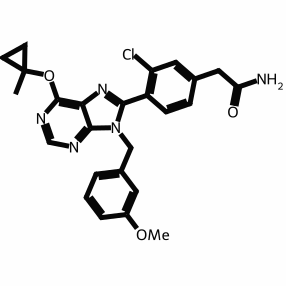 COc1cccc(Cn2c(-c3ccc(CC(N)=O)cc3Cl)nc3c(OC4(C)CC4)ncnc32)c1